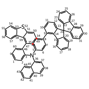 c1ccc(N(c2ccc(-c3cccc4c3-c3ccccc3C43c4ccccc4-c4ccccc43)cc2)c2cccc3ccccc23)c(-c2cccc3sc4ccccc4c23)c1